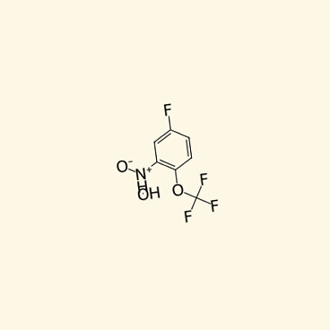 [O-][NH+](O)c1cc(F)ccc1OC(F)(F)F